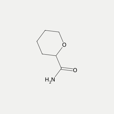 NC(=O)C1CCCCO1